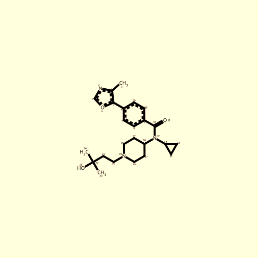 Cc1ncoc1-c1ccc(C(=O)N(C2CC2)C2CCN(CCC(C)(C)O)CC2)cc1